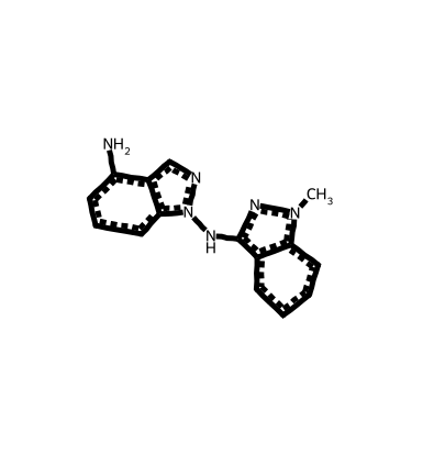 Cn1nc(Nn2ncc3c(N)cccc32)c2ccccc21